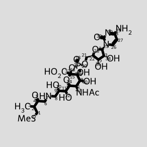 CSCC(C)C(=O)CNCC(O)C(O)C1OC(OP(=O)(O)OC[C@H]2O[C@@H](n3ccc(N)nc3=O)[C@H](O)[C@@H]2O)(C(=O)O)CC(O)C1NC(C)=O